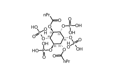 CCCC(=O)O[C@@H]1[C@@H](OP(=O)(O)O)[C@H](OP(=O)(O)O)[C@@H](OC(=O)CCC)[C@H](OP(=O)(O)O)[C@@H]1OP(=O)(O)O